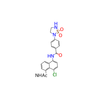 CC(=O)Nc1cccc2c(NC(=O)c3ccc(N4CCNS4(=O)=O)cc3)ccc(Cl)c12